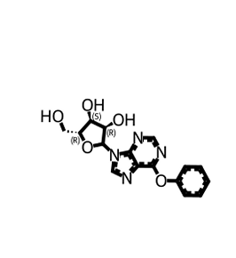 OC[C@H]1OC(n2cnc3c(Oc4ccccc4)ncnc32)[C@H](O)[C@@H]1O